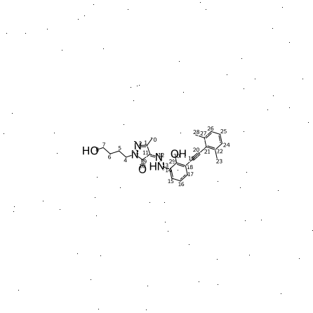 CC1=NN(CCCCO)C(=O)C1=NNc1cccc(C#Cc2c(C)cccc2C)c1O